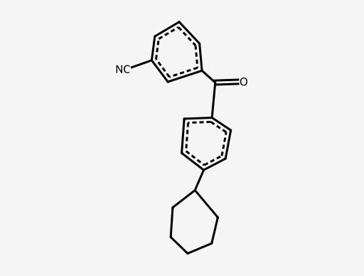 N#Cc1cccc(C(=O)c2ccc(C3CCCCC3)cc2)c1